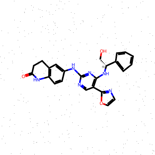 O=C1CCc2cc(Nc3ncc(-c4ncco4)c(N[C@H](CO)c4ccccc4)n3)ccc2N1